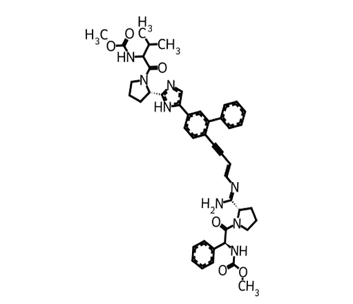 COC(=O)NC(C(=O)N1CCC[C@H]1c1ncc(-c2ccc(C#C/C=C/N=C(\N)[C@@H]3CCCN3C(=O)[C@@H](NC(=O)OC)c3ccccc3)c(-c3ccccc3)c2)[nH]1)C(C)C